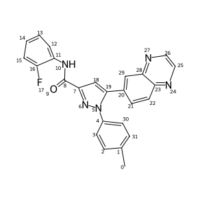 Cc1ccc(-n2nc(C(=O)Nc3ccccc3F)cc2-c2ccc3nccnc3c2)cc1